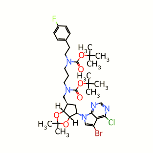 CC(C)(C)OC(=O)N(CCCN(C[C@H]1C[C@@H](n2cc(Br)c3c(Cl)ncnc32)[C@@H]2OC(C)(C)O[C@H]12)C(=O)OC(C)(C)C)CCc1ccc(F)cc1